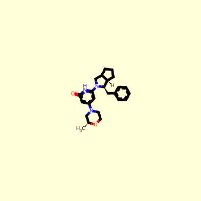 C[C@@H]1CN(c2cc(N3CC4CCC[C@H]4[C@H]3Cc3ccccc3)[nH]c(=O)c2)CCO1